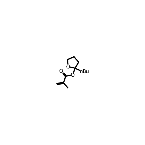 C=C(C)C(=O)OC1(CCCC)CCCO1